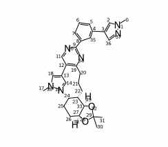 Cn1cc(-c2cccc(-c3ncc(-c4cnn(C)c4)c(CCC[C@H]4CCC[C@@H]5OC(C)(C)O[C@H]45)n3)c2)cn1